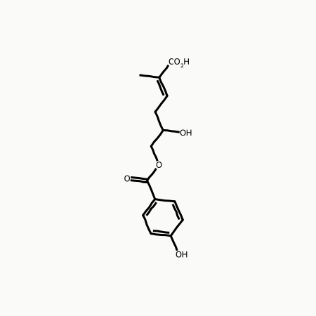 C/C(=C\CC(O)COC(=O)c1ccc(O)cc1)C(=O)O